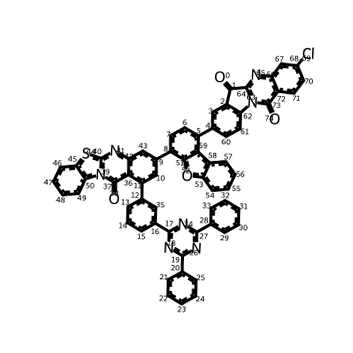 O=C1c2cc(-c3ccc(-c4cc(-c5cccc(-c6nc(-c7ccccc7)nc(-c7ccccc7)n6)c5)c5c(=O)n6c(nc5c4)sc4ccccc46)c4oc5ccccc5c34)ccc2-n2c1nc1cc(Cl)ccc1c2=O